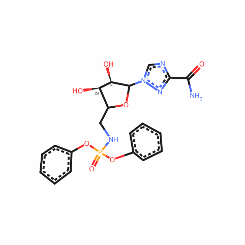 NC(=O)c1ncn(C2OC(CNP(=O)(Oc3ccccc3)Oc3ccccc3)[C@@H](O)[C@H]2O)n1